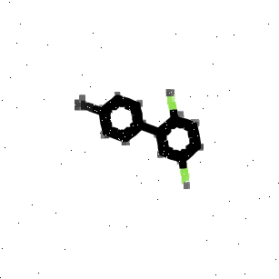 CCc1ccc(-c2cc(F)ccc2F)cc1